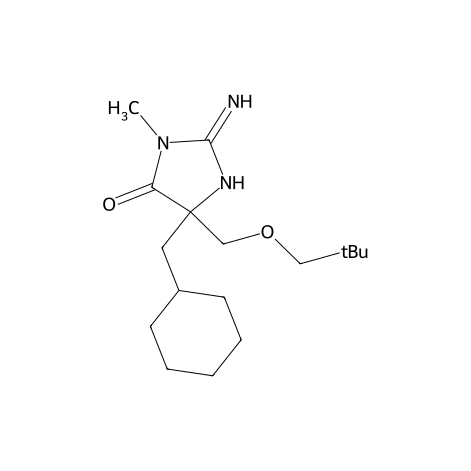 CN1C(=N)NC(COCC(C)(C)C)(CC2CCCCC2)C1=O